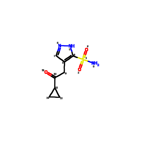 NS(=O)(=O)c1[nH]ncc1CC(=O)C1CC1